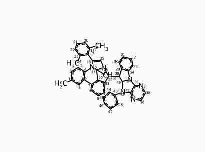 Cc1ccc2c(c1)-c1cccc3c1C1(C)N2C(c2c(C)cccc2C)=CN1[C@H]3C1c2ccccc2N2c3nccnc3N(c3ccccc3)C12